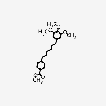 COC(=O)c1ccc(CCCCCCc2cc(OC)c(OC)c(OC)c2)cc1